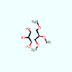 O=[N+]([O-])OCC(CO[N+](=O)[O-])O[N+](=O)[O-].OCC(O)CO